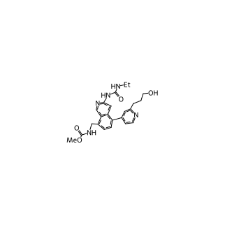 CCNC(=O)Nc1cc2c(-c3ccnc(CCCO)c3)ccc(CNC(=O)OC)c2cn1